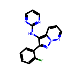 Fc1ccccc1-c1nn2ncccc2c1Nc1ncccn1